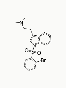 CN(C)CCc1cn(S(=O)(=O)c2ccccc2Br)c2ccccc12